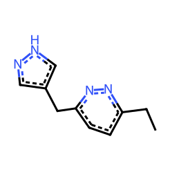 CCc1ccc(Cc2cn[nH]c2)nn1